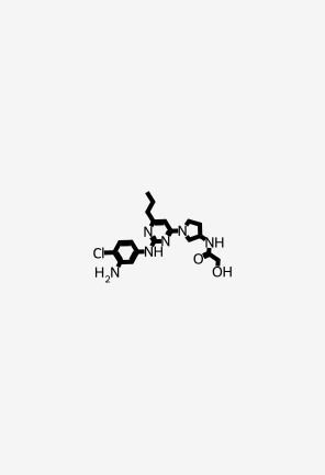 CCCc1cc(N2CCC(NC(=O)CO)C2)nc(Nc2ccc(Cl)c(N)c2)n1